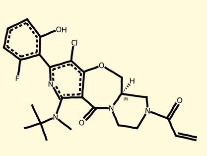 C=CC(=O)N1CCN2C(=O)c3c(N(C)C(C)(C)C)nc(-c4c(O)cccc4F)c(Cl)c3OC[C@H]2C1